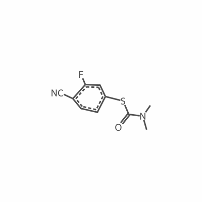 CN(C)C(=O)Sc1ccc(C#N)c(F)c1